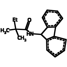 CCC(C)(C)C(=O)NC1c2ccccc2-c2ccccc21